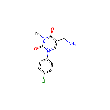 CC(C)n1c(=O)c(CN)cn(-c2ccc(Cl)cc2)c1=O